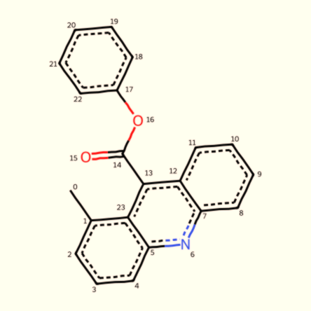 Cc1cccc2nc3ccccc3c(C(=O)Oc3ccccc3)c12